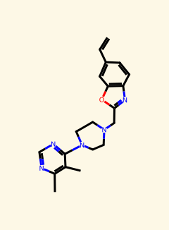 C=Cc1ccc2nc(CN3CCN(c4ncnc(C)c4C)CC3)oc2c1